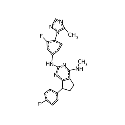 CNc1nc(Nc2ccc(-n3ncnc3C)c(F)c2)nc2c1CCC2c1ccc(F)cc1